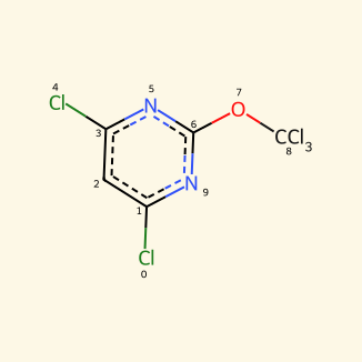 Clc1cc(Cl)nc(OC(Cl)(Cl)Cl)n1